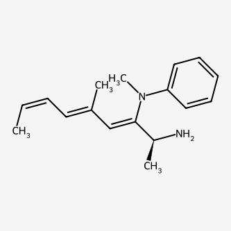 C\C=C/C=C(C)/C=C(/[C@H](C)N)N(C)c1ccccc1